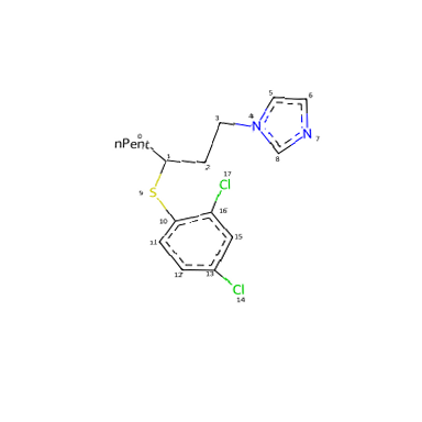 CCCCCC(CCn1ccnc1)Sc1ccc(Cl)cc1Cl